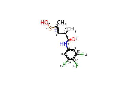 C/C(=C\C(C)C(=O)Nc1cc(F)c(F)c(F)c1)SO